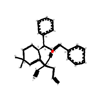 C=CCC(C#N)(C#N)C1=CC(C)(C)CC[C@H]1C(/C=C/c1ccccc1)c1ccccc1